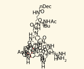 CCCCCCCCCCCC(=O)NCCCC[C@H](NC(=O)[C@@H](NC(C)=O)[C@@H](C)CC)C(=O)N1CCN(c2ccc3ncn(CC(=O)N[C@@H](CCCNC(=N)N)C(=O)N[C@@H](Cc4c[nH]cn4)C(=O)N[C@@H](Cc4ccc(O)cc4)C(=O)N[C@@H](CC(C)C)C(=O)N[C@@H](CC(N)=O)C(=O)N[C@@H](Cc4c[nH]c5ccccc45)C(=O)N[C@H](C(C)=O)C(C)C)c(=O)c3c2)CC1